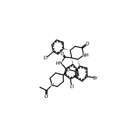 CC(=O)N1CCC(Oc2ccc(Br)cc2[C@H]2NC(=O)C[C@@H](c3cccc(Cl)c3)[C@]23C(=O)Nc2cc(Cl)ccc23)CC1